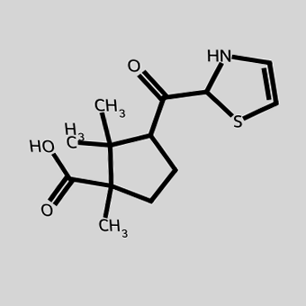 CC1(C(=O)O)CCC(C(=O)C2NC=CS2)C1(C)C